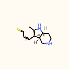 CC1=C(/C=C\C=S)[C@@H]2CNCC[C@@H]2N1